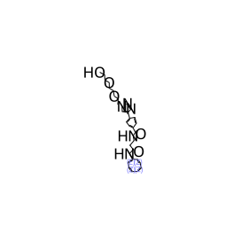 O=C(CCNC(=O)c1ccc(-c2cn(CCOCCOCCO)nn2)cc1)NC1=C/C=C\C=C/C=C\1